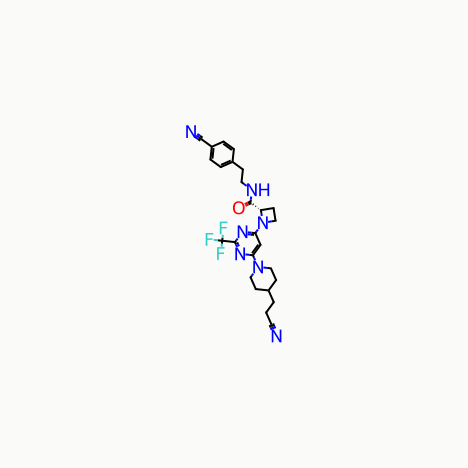 N#CCCC1CCN(c2cc(N3CC[C@H]3C(=O)NCCc3ccc(C#N)cc3)nc(C(F)(F)F)n2)CC1